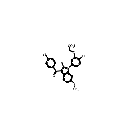 Cc1c(C(=O)c2ccc(Cl)cc2)c2ccc(OC(F)(F)F)cc2n1-c1ccc(Cl)c(OCC(=O)O)c1